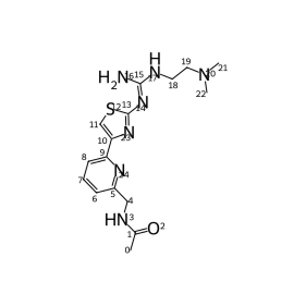 CC(=O)NCc1cccc(-c2csc(/N=C(\N)NCCN(C)C)n2)n1